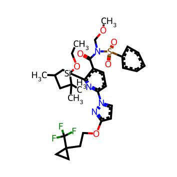 CCO[Si]1(c2nc(-n3ccc(OCCC4(C(F)(F)F)CC4)n3)ccc2C(=O)N(COC)S(=O)(=O)c2ccccc2)CC(C)CC1(C)C